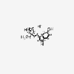 CC[N+](CC)(CC)CCc1c[nH]c2ccc(O)cc12.[I-]